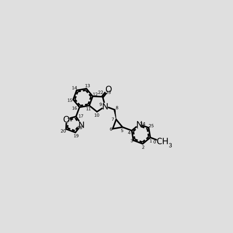 Cc1ccc(C2C[C@H]2CN2Cc3c(cccc3-c3ncco3)C2=O)nc1